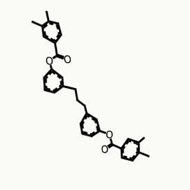 Cc1ccc(C(=O)Oc2cccc(CCCc3cccc(OC(=O)c4ccc(C)c(C)c4)c3)c2)cc1C